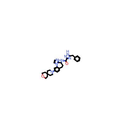 O=C(NC1CCc2ccc(N3CCC4(CCOCC4)CC3)cc2-n2ccnc21)c1n[nH]c(Cc2ccccc2)n1